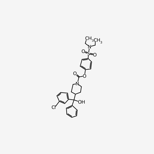 CCN(CC)S(=O)(=O)c1ccc(OC(=O)N2CCC(C(O)(c3ccccc3)c3cccc(Cl)c3)CC2)cc1